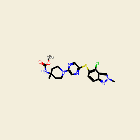 Cn1cc2c(Cl)c(Sc3cnc(N4CCC(C)(NC(=O)OC(C)(C)C)CC4)cn3)ccc2n1